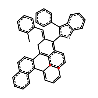 Cc1ccccc1/C=C1\CC(c2ccc3ccccc3c2C2=CC=CCC2)=c2ccccc2=C1c1oc2ccccc2c1-c1ccccc1